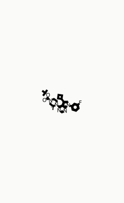 C[C@H]1CN(C(=O)OC(C)(C)C)CCN1c1ncnc2c1c(C1CCC1)cn2-c1cccc(F)c1